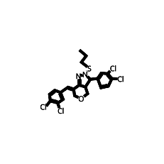 CCCSN1N=C2C(=Cc3ccc(Cl)c(Cl)c3)COCC2C1c1ccc(Cl)c(Cl)c1